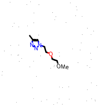 COCCOCCn1cc(C)nn1